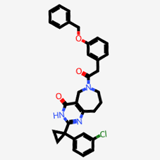 O=C(Cc1cccc(OCc2ccccc2)c1)N1CCCc2nc(C3(c4cccc(Cl)c4)CC3)[nH]c(=O)c2C1